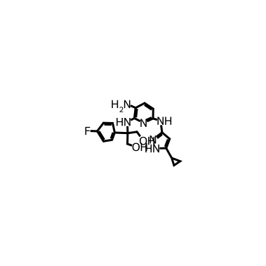 Nc1ccc(Nc2cc(C3CC3)[nH]n2)nc1NC(CO)(CO)c1ccc(F)cc1